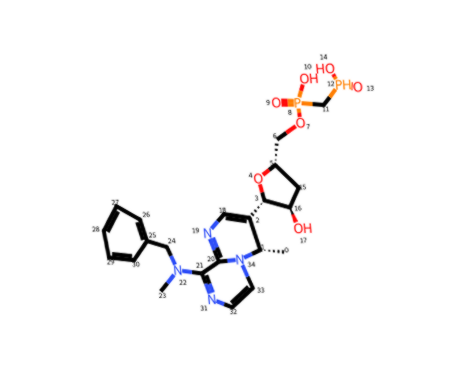 C[C@H]1C([C@@H]2O[C@H](COP(=O)(O)C[PH](=O)O)C[C@H]2O)=CN=C2C(N(C)Cc3ccccc3)=NC=CN21